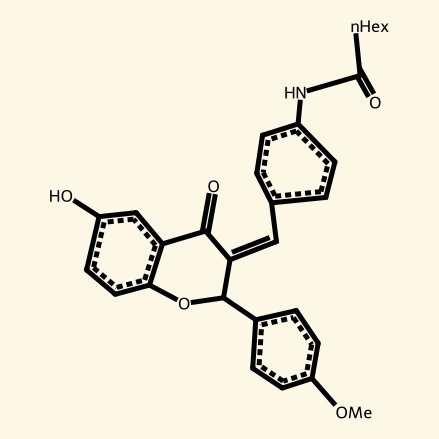 CCCCCCC(=O)Nc1ccc(C=C2C(=O)c3cc(O)ccc3OC2c2ccc(OC)cc2)cc1